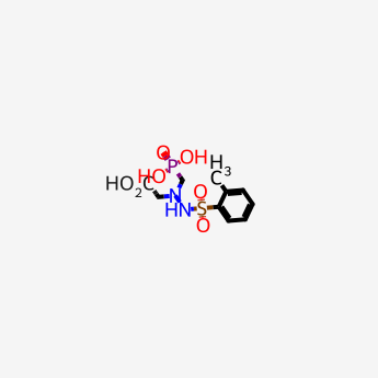 Cc1ccccc1S(=O)(=O)NN(CC(=O)O)CP(=O)(O)O